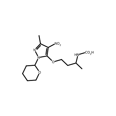 Cc1nn(C2CCCCO2)c(OCCC(C)NC(=O)O)c1[N+](=O)[O-]